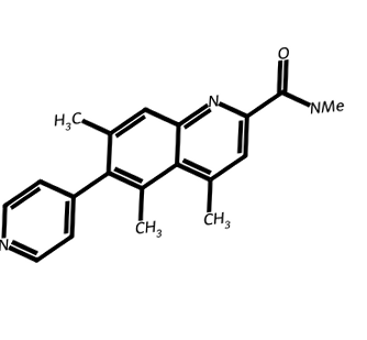 CNC(=O)c1cc(C)c2c(C)c(-c3ccncc3)c(C)cc2n1